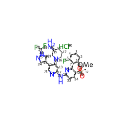 COc1cccc(F)c1-c1nc(Nc2cc(N3CCC[C@H](N)C3)c(-c3cnn(C(F)F)c3)cn2)ccc1S(C)(=O)=O.Cl